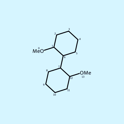 COC1CCCCC1C1CCCCC1OC